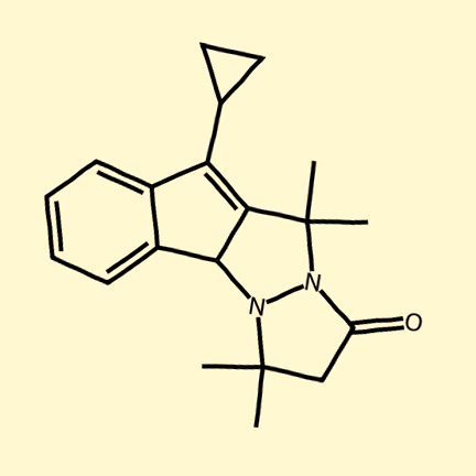 CC1(C)CC(=O)N2N1C1C(=C(C3CC3)c3ccccc31)C2(C)C